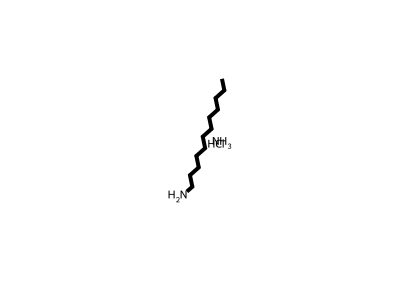 CCCCCCCCCCCCN.Cl.N